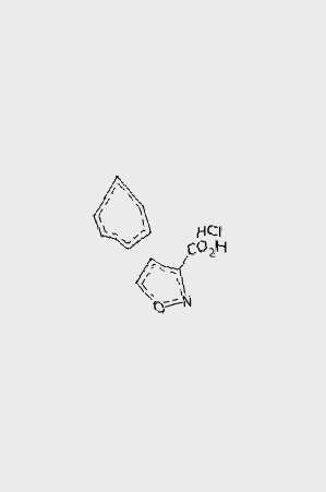 Cl.O=C(O)c1ccon1.c1ccccc1